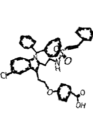 O=C(O)c1ccc(OCCc2c(CCNS(=O)(=O)C=Cc3ccccc3)n(C(c3ccccc3)c3ccccc3)c3ccc(Cl)cc23)cc1